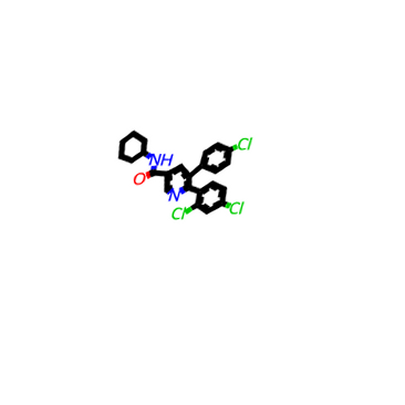 O=C(NC1CCCCC1)c1cnc(-c2ccc(Cl)cc2Cl)c(-c2ccc(Cl)cc2)c1